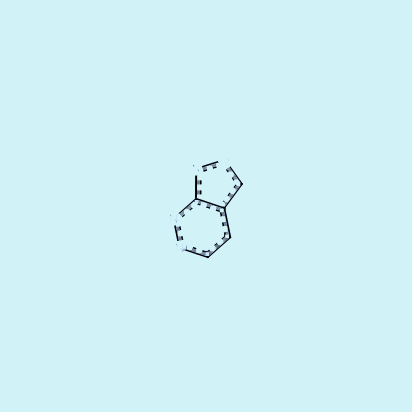 [c]1cnnc2nocc12